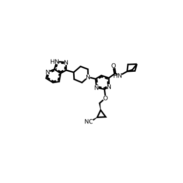 N#C[C@@H]1C[C@@H]1COc1nc(C(=O)NC23CC(C2)C3)cc(N2CCC(c3n[nH]c4ncccc34)CC2)n1